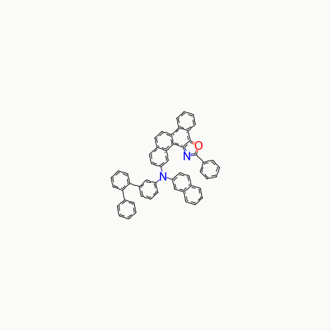 c1ccc(-c2nc3c(o2)c2ccccc2c2ccc4ccc(N(c5cccc(-c6ccccc6-c6ccccc6)c5)c5ccc6ccccc6c5)cc4c23)cc1